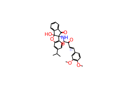 COc1ccc(/C=C/C(=O)C(=O)NC23C(=O)c4ccccc4C2(O)Oc2cc(C(C)C)ccc23)cc1OC